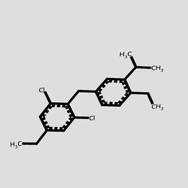 CCc1cc(Cl)c(Cc2ccc(CC)c(C(C)C)c2)c(Cl)c1